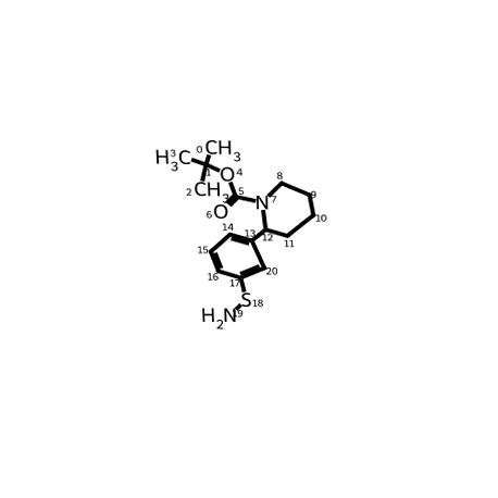 CC(C)(C)OC(=O)N1CCCCC1c1cccc(SN)c1